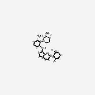 C[C@@H]1[C@H](N)CCCN1c1ccncc1Nc1ncc2ccc(-c3c(F)cccc3F)nn12